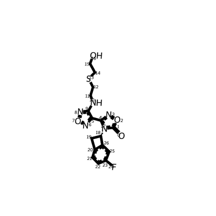 O=c1onc(-c2nonc2NCCSCCO)n1[C@H]1Cc2ccc(F)cc21